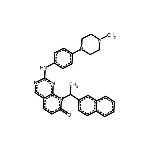 CC(c1ccc2ccccc2c1)n1c(=O)ccc2cnc(Nc3ccc(N4CCN(C)CC4)cc3)nc21